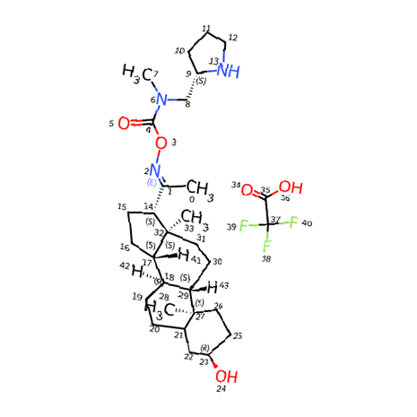 C/C(=N\OC(=O)N(C)C[C@@H]1CCCN1)[C@H]1CC[C@H]2[C@@H]3CCC4C[C@H](O)CC[C@]4(C)[C@H]3CC[C@]12C.O=C(O)C(F)(F)F